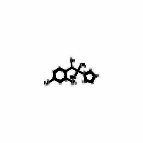 CC(C)(C(O)c1ccc(C(F)(F)F)cc1C(F)(F)F)n1cncn1